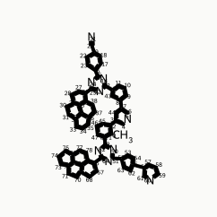 Cc1c(-c2cncc(-c3cccc(-c4nc(-c5ccc(C#N)cc5)nc(-c5ccc6ccc7cccc8ccc5c6c78)n4)c3)c2)cccc1-c1nc(-c2ccc(-c3cccnc3)cc2)nc(-c2ccc3ccc4cccc5ccc2c3c45)n1